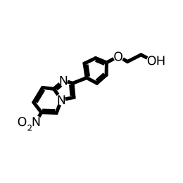 O=[N+]([O-])c1ccc2nc(-c3ccc(OCCO)cc3)cn2c1